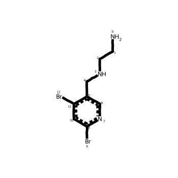 NCCNCc1cnc(Br)cc1Br